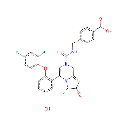 CC1C(=O)C=C2CN(C(=O)NCc3ccc(C(=O)O)cc3)C=C(c3cc(C(C)(C)O)ccc3Oc3ccc(F)cc3F)N21